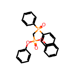 O=P(CP(=O)(c1ccccc1)c1ccccc1)(Oc1ccccc1)Oc1ccccc1